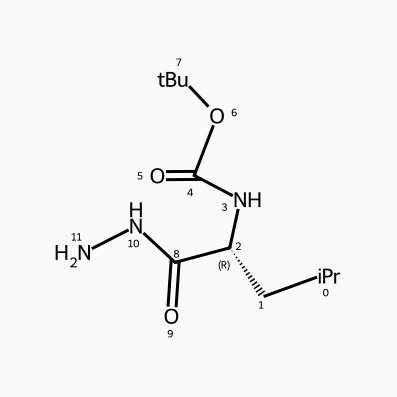 CC(C)C[C@@H](NC(=O)OC(C)(C)C)C(=O)NN